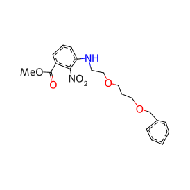 COC(=O)c1cccc(NCCOCCCOCc2ccccc2)c1[N+](=O)[O-]